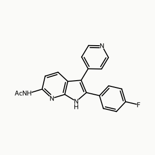 CC(=O)Nc1ccc2c(-c3ccncc3)c(-c3ccc(F)cc3)[nH]c2n1